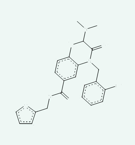 CN(C)C1Sc2ccc(C(=O)NCc3ccco3)cc2N(Cc2ccccc2F)C1=O